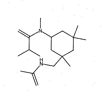 C=C(C)NCC1(C)CC(N(C)C(=C)C(C)C)CC(C)(C)C1